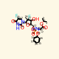 CC(C)OC(=O)[C@H](C)NP(=O)(OC[C@H]1O[C@@H](n2cc(F)c(=O)[nH]c2=O)[C@](C)(F)C1O)Oc1ccccc1